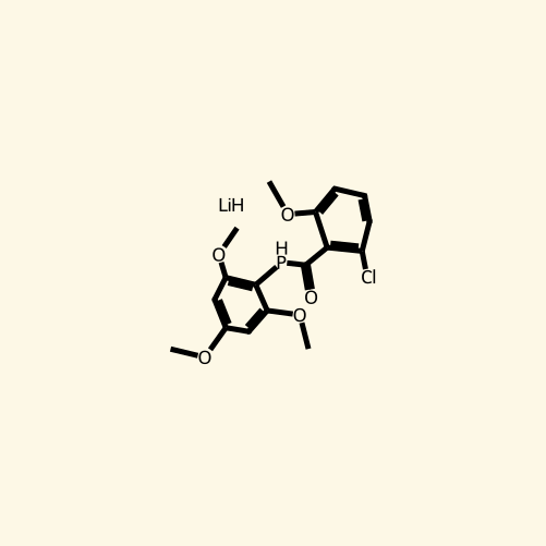 COc1cc(OC)c(PC(=O)c2c(Cl)cccc2OC)c(OC)c1.[LiH]